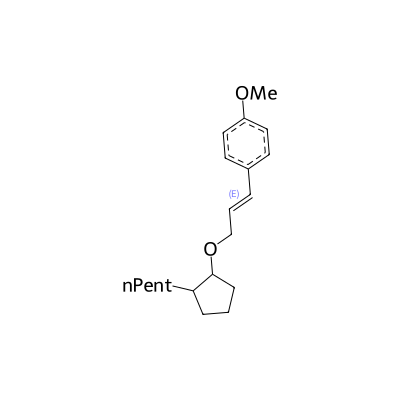 CCCCCC1CCCC1OC/C=C/c1ccc(OC)cc1